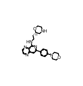 c1cnc2c(NCC[C@H]3CNCCO3)nc(-c3ccc(N4CCOCC4)cc3)cc2n1